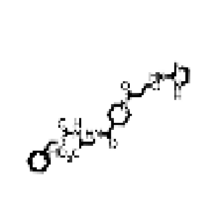 O=C(NC(CNC(=O)C1CCN(C(=O)CCONC2=NCCN2)CC1)C(=O)O)OCc1ccccc1